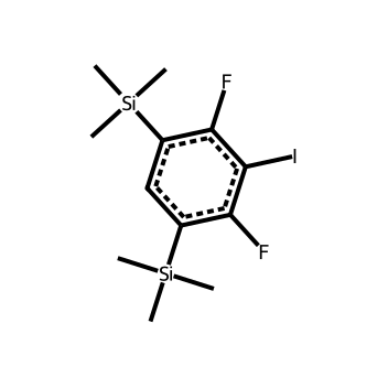 C[Si](C)(C)c1cc([Si](C)(C)C)c(F)c(I)c1F